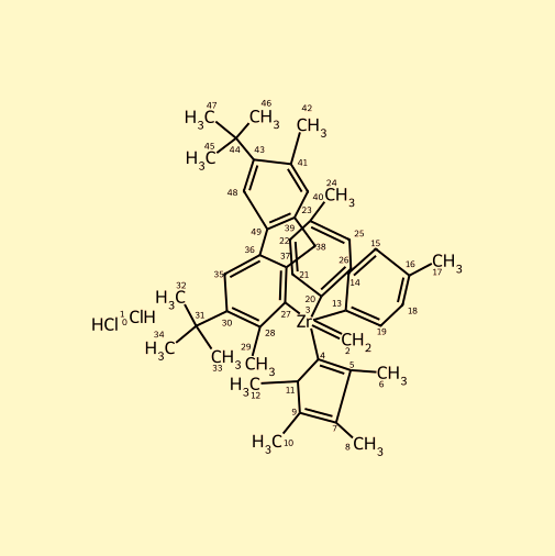 Cl.Cl.[CH2]=[Zr]([C]1=C(C)C(C)=C(C)C1C)([c]1ccc(C)cc1)([c]1ccc(C)cc1)[c]1c(C)c(C(C)(C)C)cc2c1Cc1cc(C)c(C(C)(C)C)cc1-2